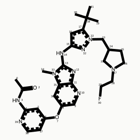 CC(=O)Nc1cc(Oc2cnc3nc(Nc4cc(C(C)(C)C)n(CC5CCN(CCF)C5)n4)n(C)c3c2)ccn1